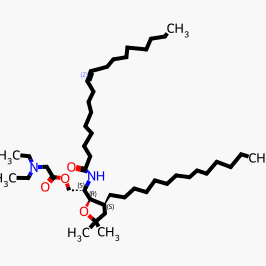 CCCCCCCC/C=C\CCCCCCCC(=O)N[C@@H](COC(=O)CN(CC)CC)[C@@H]1OC(C)(C)C[C@@H]1CCCCCCCCCCCCCC